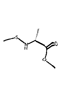 COC(=O)[C@@H](C)NSC